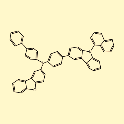 c1ccc(-c2ccc(N(c3ccc(-c4ccc5c(c4)c4ccccc4n5-c4cccc5ccccc45)cc3)c3ccc4oc5ccccc5c4c3)cc2)cc1